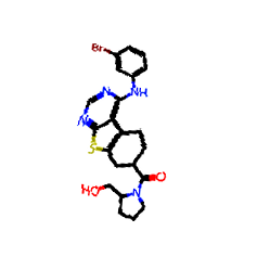 O=C(C1CCc2c(sc3ncnc(Nc4cccc(Br)c4)c23)C1)N1CCCC1CO